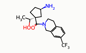 CC(O)[C@]1(C(=O)N2CCc3ccc(C(F)(F)F)cc3C2)CC[C@@H](N)C1